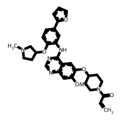 C=CC(=O)N1CCC(Oc2cc3c(Nc4cc(-c5ccco5)ccc4OC4CCN(C)C4)ncnc3cc2OC)CC1